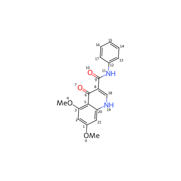 COc1cc(OC)c2c(=O)c(C(=O)Nc3ccccc3)c[nH]c2c1